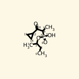 CCC(C)OP(=O)(O)C(C)C(=O)C1CC1